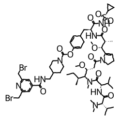 CC[C@H](C)[C@@H]([C@@H](CC(=O)N1CCC=C1[C@H](OC)[C@@H](C)C(=O)N[C@@H](CC1C=CC(OC(=O)N2CCC(CNC(=O)c3cc(CBr)nc(CBr)c3)CC2)=CC1)C(=O)NS(=O)(=O)C1CC1)OC)N(C)C(=O)[C@@H](NC(=O)[C@H](C(C)C)N(C)C)C(C)C